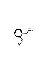 CC(C)Oc1ccccc1CC(=O)O